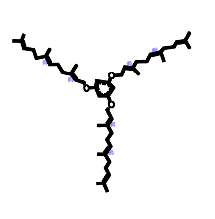 CC(C)=CCC/C(C)=C/CC/C(C)=C/COc1cc(OC/C=C(\C)CC/C=C(\C)CCC=C(C)C)cc(OC/C=C(\C)CC/C=C(\C)CCC=C(C)C)c1